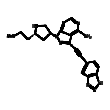 COCC[C@H]1C[C@H](n2nc(C#Cc3ccc4[nH]nnc4c3)c3c(N)ncnc32)CN1